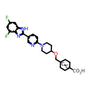 O=C(O)C12CCC(COC3CCN(c4ccc(-c5nc6c(F)cc(F)cc6[nH]5)cn4)CC3)(CC1)CC2